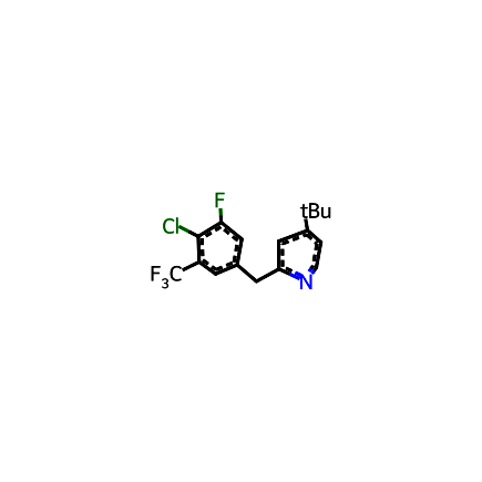 CC(C)(C)c1ccnc(Cc2cc(F)c(Cl)c(C(F)(F)F)c2)c1